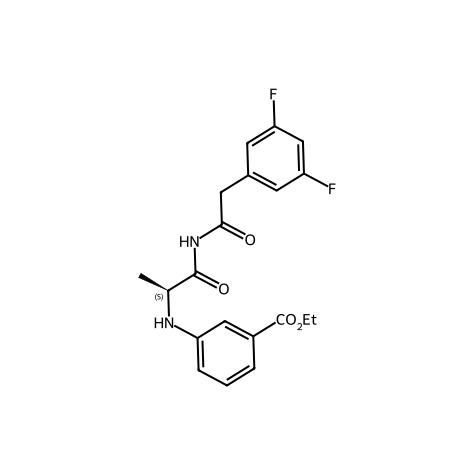 CCOC(=O)c1cccc(N[C@@H](C)C(=O)NC(=O)Cc2cc(F)cc(F)c2)c1